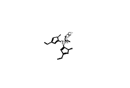 CCC1=CC(C)[C]([Ti+2]([C]2=CC(CC)=CC2C)=[Si](C)C)=C1.[Cl-].[Cl-]